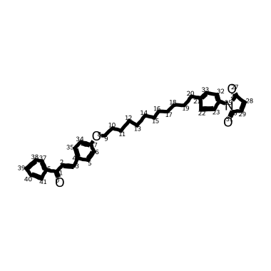 O=C(C=Cc1ccc(OCCCCCCCCCCCCc2ccc(N3C(=O)C=CC3=O)cc2)cc1)c1ccccc1